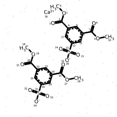 COC(=O)c1cc(C(=O)OC)cc(S(=O)(=O)[O-])c1.COC(=O)c1cc(C(=O)OC)cc(S(=O)(=O)[O-])c1.[Ca+2]